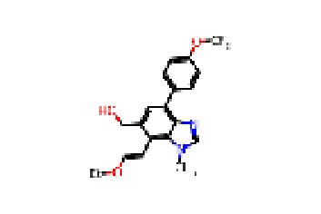 CCOC=Cc1c(CO)cc(-c2ccc(OC(F)(F)F)cc2)c2ncn(C)c12